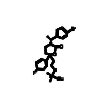 C[C@@H](c1ccc(Br)cc1)N1CCC(CCO[Si](C)(C)C(C)(C)C)(c2ccc(F)cc2)OC1=O